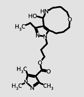 CCc1nn(CCCOC(=O)c2c(C)nn(C)c2C)c2c1C(O)NCCCOCCC2